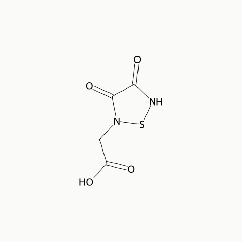 O=C(O)Cn1s[nH]c(=O)c1=O